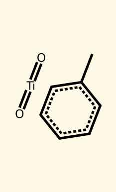 Cc1ccccc1.[O]=[Ti]=[O]